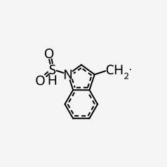 [CH2]c1cn([SH](=O)=O)c2ccccc12